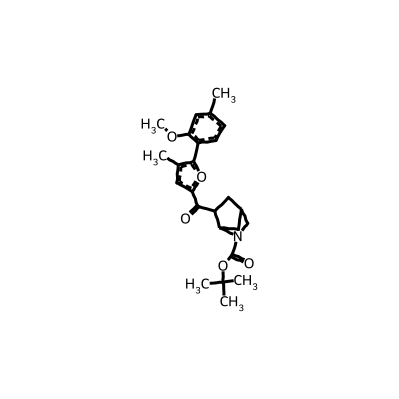 COc1cc(C)ccc1-c1oc(C(=O)C2CC3CC2N(C(=O)OC(C)(C)C)C3)cc1C